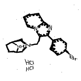 Brc1ccc(-c2nc3ccccn3c2CN2CC3CCC(C2)N3)cc1.Cl.Cl